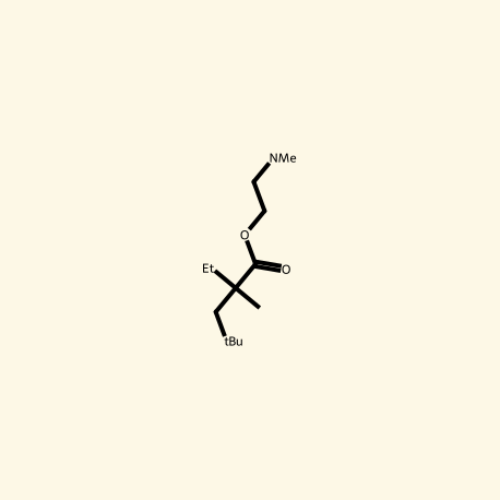 CCC(C)(CC(C)(C)C)C(=O)OCCNC